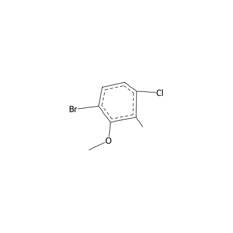 COc1c(Br)ccc(Cl)c1C